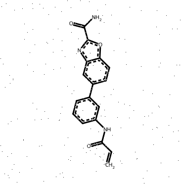 C=CC(=O)Nc1cccc(-c2ccc3oc(C(N)=O)nc3c2)c1